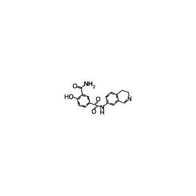 NC(=O)c1cc(S(=O)(=O)Nc2ccc3c(c2)C=NCC3)ccc1O